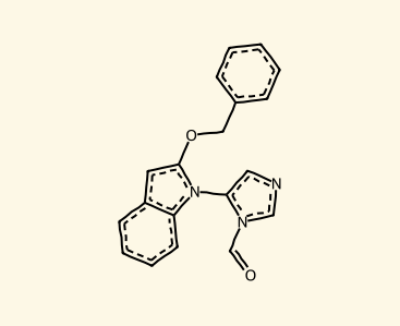 O=Cn1cncc1-n1c(OCc2ccccc2)cc2ccccc21